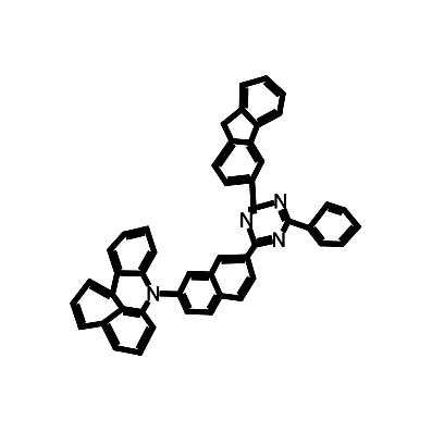 c1ccc(-c2nc(-c3ccc4c(c3)-c3ccccc3C4)nc(-c3ccc4ccc(N5c6ccccc6-c6cccc7cccc5c67)cc4c3)n2)cc1